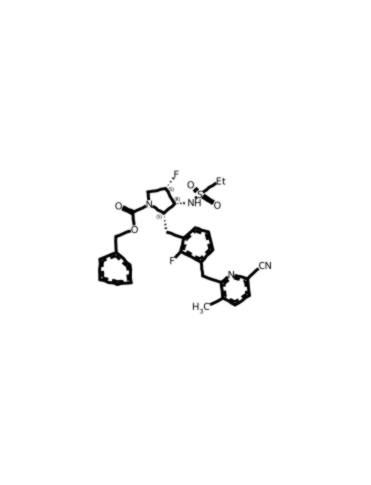 CCS(=O)(=O)N[C@H]1[C@@H](F)CN(C(=O)OCc2ccccc2)[C@H]1Cc1cccc(Cc2nc(C#N)ccc2C)c1F